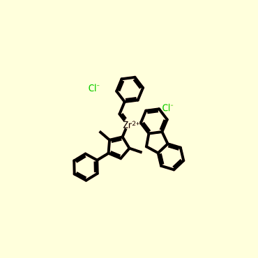 CC1=[C](/[Zr+2](=[CH]/c2ccccc2)[c]2cccc3c2Cc2ccccc2-3)C(C)C=C1c1ccccc1.[Cl-].[Cl-]